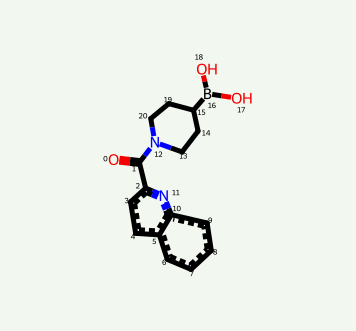 O=C(c1ccc2ccccc2n1)N1CCC(B(O)O)CC1